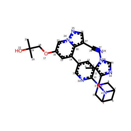 Cc1c(CN2C3CC2CN(c2ccc(-c4cc(OCC(C)(C)O)cn5ncc(C#N)c45)cn2)C3)ncn1C